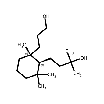 CC(C)(O)CC[C@H]1C(C)(C)CCC[C@]1(C)CCCO